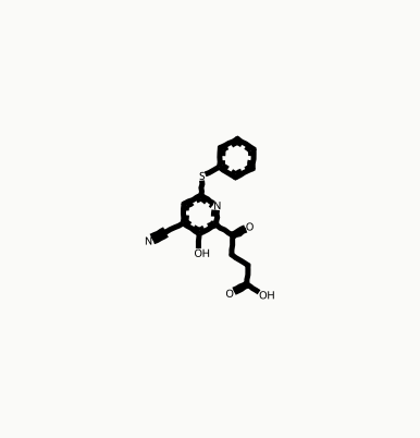 N#Cc1cc(Sc2ccccc2)nc(C(=O)CCC(=O)O)c1O